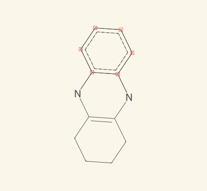 c1ccc2c(c1)N1C3=C(CCCC3)N2c2ccccc21